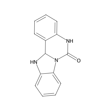 O=C1Nc2ccccc2C2Nc3ccccc3N12